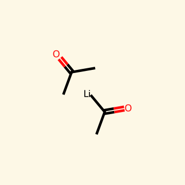 CC(C)=O.[Li][C](C)=O